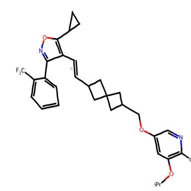 CC(C)Oc1cc(OCC2CC3(CC(/C=C/c4c(-c5ccccc5C(F)(F)F)noc4C4CC4)C3)C2)cnc1C#N